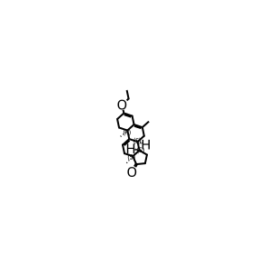 CCOC1=CC2=C(C)C[C@@H]3C(=CC[C@]4(C)C(=O)CC[C@@H]34)[C@@]2(C)CC1